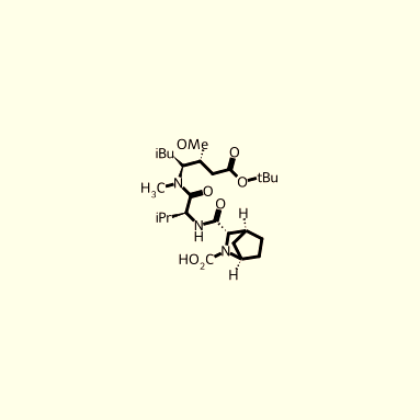 CC[C@H](C)[C@@H]([C@@H](CC(=O)OC(C)(C)C)OC)N(C)C(=O)[C@@H](NC(=O)[C@@H]1[C@H]2CC[C@H](C2)N1C(=O)O)C(C)C